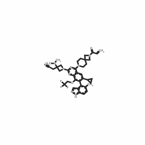 C=CC(=O)N1CC2(CCN(c3nc(N4CC(CC#N)(N(C)C)C4)nc4c(OCC(F)(F)F)c(-c5c(C)ccc6[nH]ncc56)c(C5CC5)cc34)CC2)C1